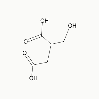 O=C(O)CC(CO)C(=O)O